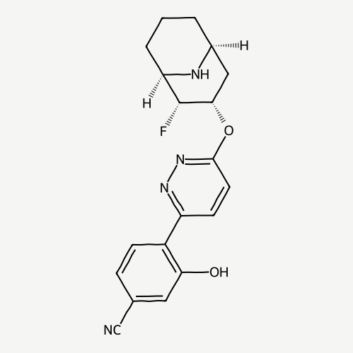 N#Cc1ccc(-c2ccc(O[C@H]3C[C@@H]4CCC[C@@H](N4)[C@H]3F)nn2)c(O)c1